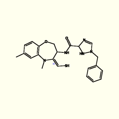 Cc1ccc2c(c1)N(C)/C(=C/S)C(NC(=O)C1N=CN(Cc3ccccc3)N1)CO2